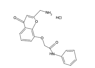 Cl.NCc1cc(=O)c2cccc(OCC(=O)Nc3ccccc3)c2o1